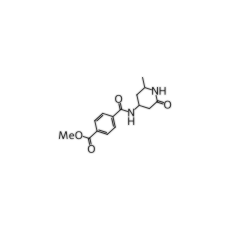 COC(=O)c1ccc(C(=O)NC2CC(=O)NC(C)C2)cc1